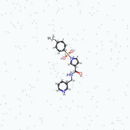 Cc1ccc(S(=O)(=O)n2ccc(C(=O)NCc3cccnc3)c2)cc1